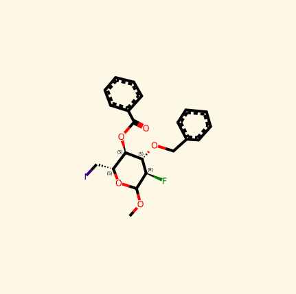 COC1O[C@H](CI)[C@@H](OC(=O)c2ccccc2)[C@H](OCc2ccccc2)[C@H]1F